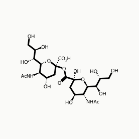 CC(=O)N[C@H]1[C@H]([C@H](O)[C@H](O)CO)O[C@](OC(=O)[C@]2(O)C[C@H](O)[C@@H](NC(C)=O)[C@H]([C@H](O)[C@H](O)CO)O2)(C(=O)O)C[C@@H]1O